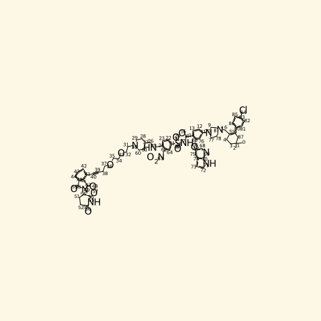 CC1(C)CCC(CN2CCN(c3ccc(C(=O)NS(=O)(=O)c4ccc(NCC5CCN(CCOCCOCCC#Cc6cccc7c6C(=O)N(C6CCC(=O)NC6=O)C7=O)CC5)c([N+](=O)[O-])c4)c(Oc4cnc5[nH]ccc5c4)c3)CC2)=C(c2ccc(Cl)cc2)C1